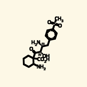 CS(=O)(=O)c1ccc(C[C@@H](N)[C@H](O)C(=O)C2(C(=O)O)CCCCC2N)cc1